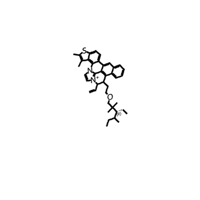 C=CC1C(CCOCC(C)(C)[C@H](CC)C(C)CC)c2c3ccccc3cc3c4ccc5sc(C)c(C)c5c4n4cc[n+]1c4c23